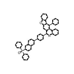 O=P(c1ccccc1)(c1ccccc1)c1ccc2cc(-c3ccc(-c4nc5ccccc5c5c(-c6ccccc6)c6c(cc45)oc4ccccc46)cc3)ccc2c1